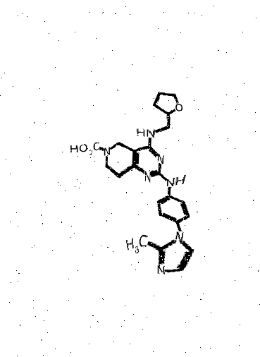 Cc1nccn1-c1ccc(Nc2nc3c(c(NCC4CCCO4)n2)CN(C(=O)O)CC3)cc1